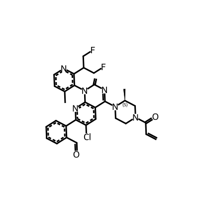 C=CC(=O)N1CCN(C2=NC(=C)N(c3c(C)ccnc3C(CF)CF)c3nc(-c4ccccc4C=O)c(Cl)cc32)[C@@H](C)C1